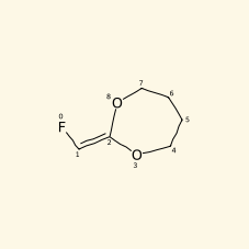 FC=C1OCCCCO1